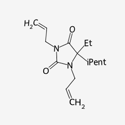 C=CCN1C(=O)N(CC=C)C(CC)(C(C)CCC)C1=O